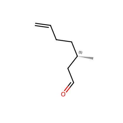 C=CCC[C@H](C)CC=O